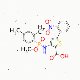 COP(=O)(Nc1cc(-c2ccccc2[N+](=O)[O-])sc1C(=O)O)c1ccc(C)cc1C